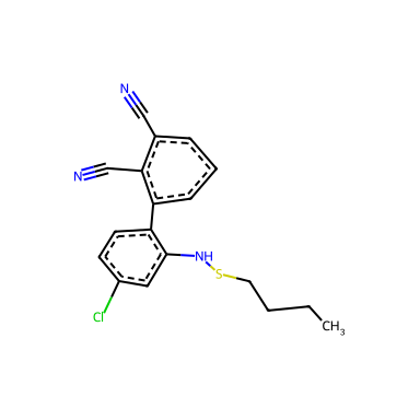 CCCCSNc1cc(Cl)ccc1-c1cccc(C#N)c1C#N